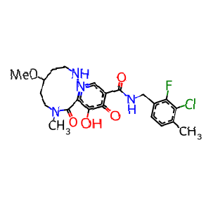 COC1CCNn2cc(C(=O)NCc3ccc(C)c(Cl)c3F)c(=O)c(O)c2C(=O)N(C)CC1